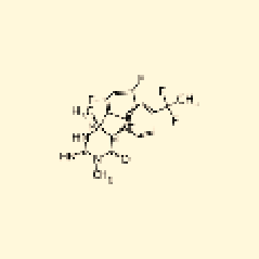 CN1C(=N)N[C@](C)(c2c(F)cc(F)cc2F)[C@@H](c2ccc(C(C)(F)F)cc2)C1=O